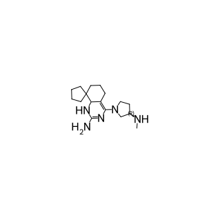 CN[C@@H]1CCN(C2=C3CCCC4(CCCC4)C3NC(N)=N2)C1